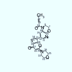 CC#CC(=O)N1CCOc2ncc(-c3csc4c(=O)cc(N5CCOCC5)oc34)cc21